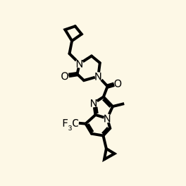 Cc1c(C(=O)N2CCN(CC3CCC3)C(=O)C2)nc2c(C(F)(F)F)cc(C3CC3)cn12